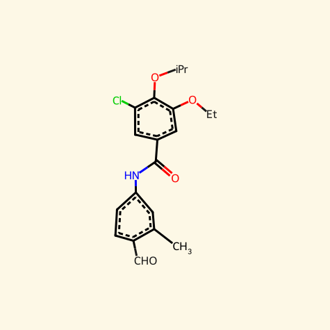 CCOc1cc(C(=O)Nc2ccc(C=O)c(C)c2)cc(Cl)c1OC(C)C